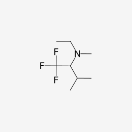 CCN(C)C(C(C)C)C(F)(F)F